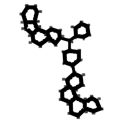 c1ccc(N(c2ccc(-c3ccc4c(ccc5ccc6ccccc6c54)c3)cc2)c2ccc3c(ccc4sc5ccccc5c43)c2)cc1